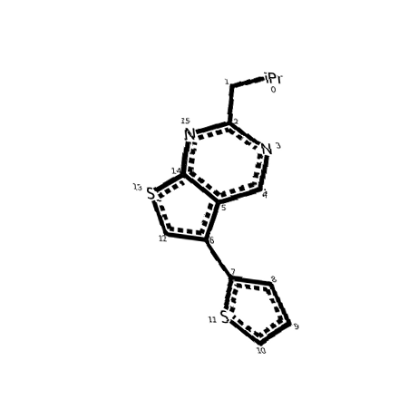 CC(C)Cc1n[c]c2c(-c3cccs3)csc2n1